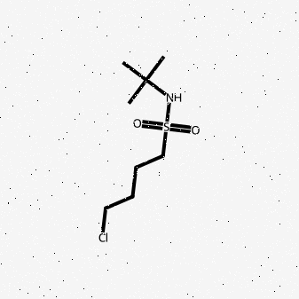 CC(C)(C)NS(=O)(=O)CCCCCl